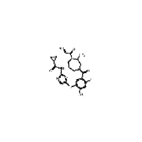 C=CC(=O)N1CCCN(C(=O)c2cc(Sc3cnc(NC(=O)C4CC4)s3)c(C)cc2F)CC1C